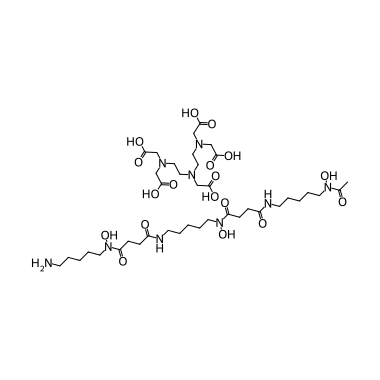 CC(=O)N(O)CCCCCNC(=O)CCC(=O)N(O)CCCCCNC(=O)CCC(=O)N(O)CCCCCN.O=C(O)CN(CCN(CC(=O)O)CC(=O)O)CCN(CC(=O)O)CC(=O)O